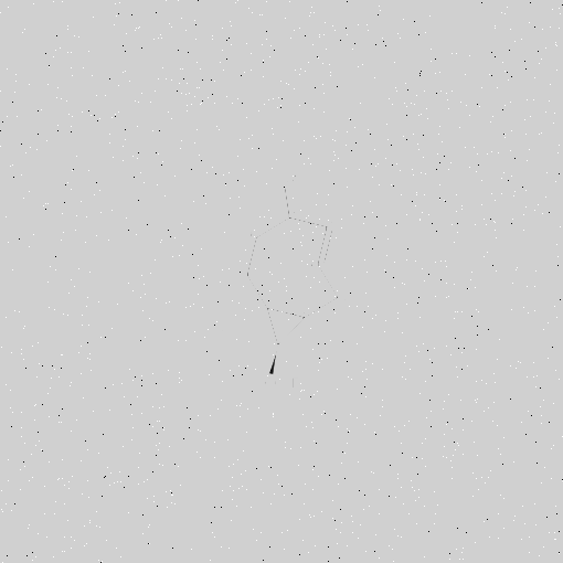 CCOC(=O)[C@@H]1[C@@H]2C/C=C/C(OC(C)=O)CC[C@@H]21